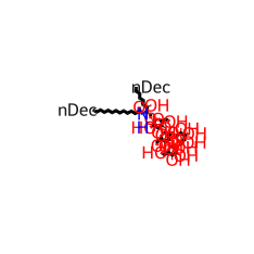 CCCCCCCCCCCCC/C=C/[C@@H](O)[C@H](CO[C@@H]1OC(CO)[C@@H](O[C@@H]2OC(CO)[C@H](O)[C@H](O[C@H]3OC(CO)[C@H](O)[C@H](O)C3O)C2O[C@H]2OC(C)[C@@H](O)C(O)[C@@H]2O)[C@H](O)C1O)NC(=O)CCCCCCCCCCCCCCCCCCCCC